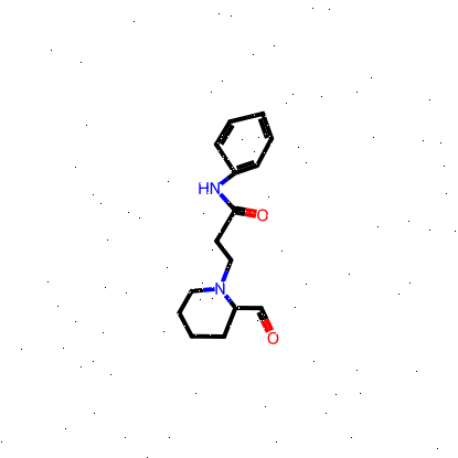 O=CC1CCCCN1CCC(=O)Nc1ccccc1